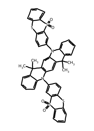 CC1(C)c2ccccc2N(c2ccc3c(c2)S(=O)(=O)c2ccccc2S3)c2cc3c(cc21)N(c1ccc2c(c1)S(=O)(=O)c1ccccc1S2)c1ccccc1C3(C)C